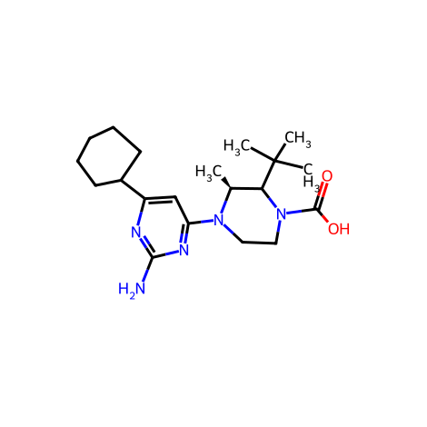 C[C@H]1C(C(C)(C)C)N(C(=O)O)CCN1c1cc(C2CCCCC2)nc(N)n1